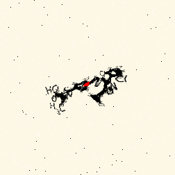 Cc1nc(C23CCC(COCc4c(-c5c(Cl)cccc5Cl)noc4C4CC4)(CC2)CC3)sc1C(=O)O